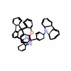 C1=CC2c3ccccc3N(C3C=CC(C4=NC(c5cccc6c5C5(c7ccccc7Oc7ccccc75)C5C=CC=CC65)C5CCC=CC5=N4)=CC3)C2C=C1